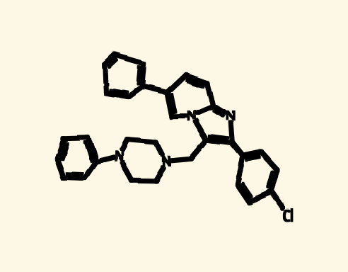 Clc1ccc(-c2nc3ccc(-c4ccccc4)cn3c2CN2CCN(c3ccccc3)CC2)cc1